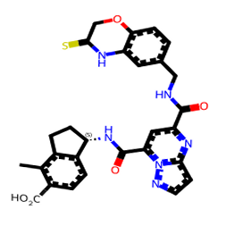 Cc1c(C(=O)O)ccc2c1CC[C@@H]2NC(=O)c1cc(C(=O)NCc2ccc3c(c2)NC(=S)CO3)nc2ccnn12